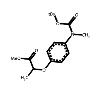 COC(=O)C(C)Oc1ccc(N(C)C(=O)OC(C)(C)C)cc1